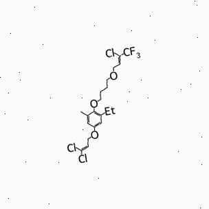 CCc1cc(OCC=C(Cl)Cl)cc(C)c1OCCCCOC/C=C(\Cl)C(F)(F)F